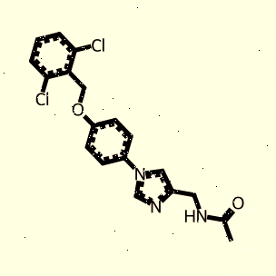 CC(=O)NCc1cn(-c2ccc(OCc3c(Cl)cccc3Cl)cc2)cn1